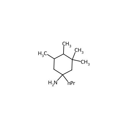 CCCC1(N)CC(C)C(C)C(C)(C)C1